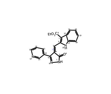 CCOC(=O)c1c(/C=C2\C(=O)NN=C2c2cccnc2)[nH]c2ccccc12